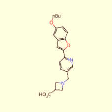 CCCCOc1ccc2oc(-c3ccc(CN4CC(C(=O)O)C4)cn3)cc2c1